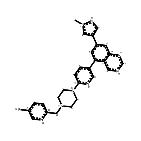 Cn1cc(-c2cc(-c3ccc(N4CCN(Cc5ccc(F)cn5)CC4)nc3)c3cncnc3c2)cn1